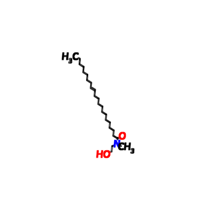 CCCCCCCCC=CCCCCCCCCCCCC(=O)N(C)CCO